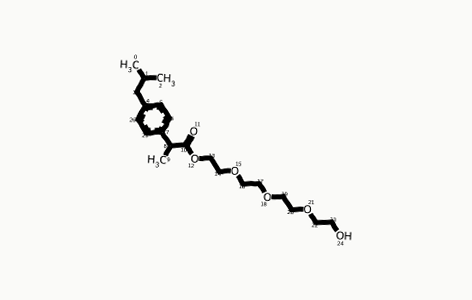 CC(C)Cc1ccc(C(C)C(=O)OCCOCCOCCOCCO)cc1